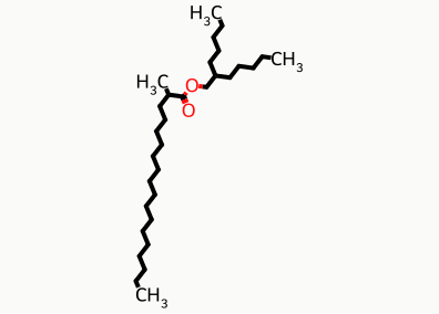 CCCCCCCCCCCCCCCCC(C)C(=O)OCC(CCCCC)CCCCC